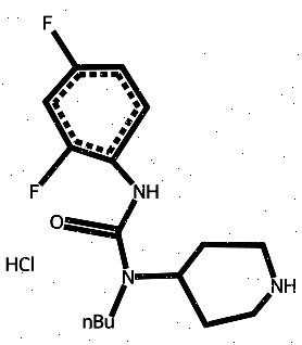 CCCCN(C(=O)Nc1ccc(F)cc1F)C1CCNCC1.Cl